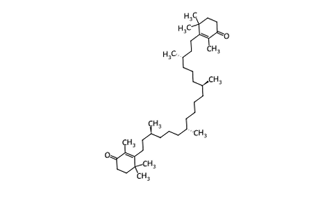 CC1=C(CC[C@@H](C)CCC[C@@H](C)CCCC[C@H](C)CCC[C@H](C)CCC2=C(C)C(=O)CCC2(C)C)C(C)(C)CCC1=O